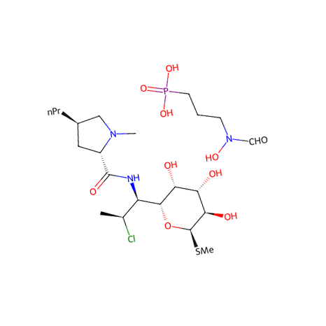 CCC[C@@H]1C[C@@H](C(=O)N[C@@H]([C@H]2O[C@H](SC)[C@H](O)[C@@H](O)[C@H]2O)[C@H](C)Cl)N(C)C1.O=CN(O)CCCP(=O)(O)O